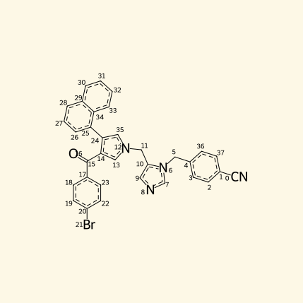 N#Cc1ccc(Cn2cncc2Cn2cc(C(=O)c3ccc(Br)cc3)c(-c3cccc4ccccc34)c2)cc1